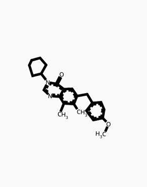 COc1ccc(Cc2cc3c(=O)n(C4CCCCC4)cnc3c(C)c2C)cc1